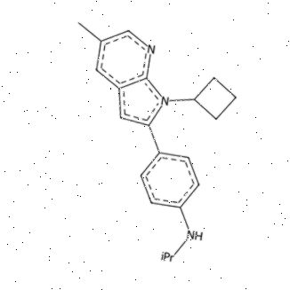 Cc1cnc2c(c1)cc(-c1ccc(NC(C)C)cc1)n2C1CCC1